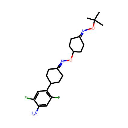 CC(C)(C)ON=C1CCC(ON=C2CCC(c3cc(F)c(N)cc3F)CC2)CC1